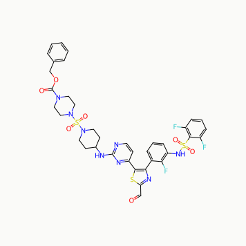 O=Cc1nc(-c2cccc(NS(=O)(=O)c3c(F)cccc3F)c2F)c(-c2ccnc(NC3CCN(S(=O)(=O)N4CCN(C(=O)OCc5ccccc5)CC4)CC3)n2)s1